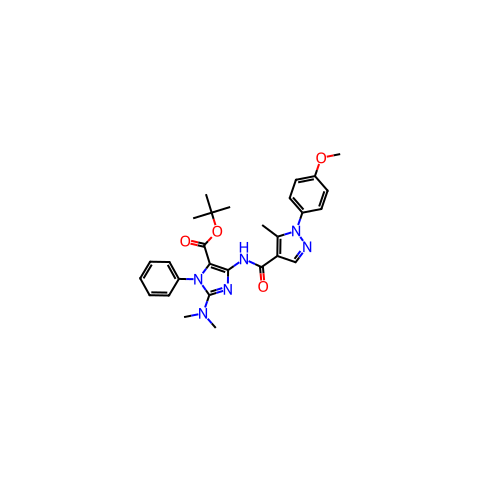 COc1ccc(-n2ncc(C(=O)Nc3nc(N(C)C)n(-c4ccccc4)c3C(=O)OC(C)(C)C)c2C)cc1